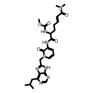 COC(=O)NC(CCC=CC(=O)N(C)C)C(=O)Nc1cccn(Cc2nc3c(CC(C)C)ncnc3[nH]2)c1=O